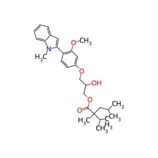 COc1cc(OCC(O)COC(=O)C(C)(CC(C)C)C(C)C)ccc1-c1cc2ccccc2n1C